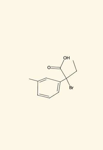 CCC(Br)(C(=O)O)c1cccc(C)c1